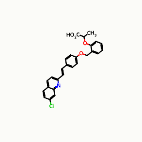 CC(Oc1ccccc1COc1ccc(/C=C/c2ccc3ccc(Cl)cc3n2)cc1)C(=O)O